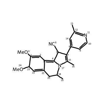 COC1=CC2=C3C(C#N)C(c4ccnc(C)c4)=C(C)N3C(C)CC2=CC1OC